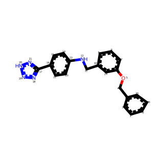 c1ccc(COc2cccc(CNc3ccc(-c4nn[nH]n4)cc3)c2)cc1